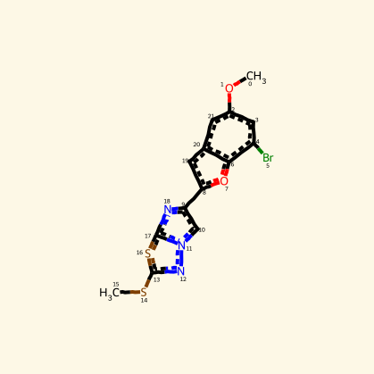 COc1cc(Br)c2oc(-c3cn4nc(SC)sc4n3)cc2c1